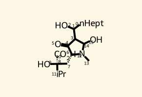 CCCCCCCC(O)C1C(=O)[C@@H](C[C@@](O)(C(=O)O)C(C)C)N(C)C1O